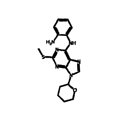 CSc1nc(Nc2ccccc2N)c2ncn(C3CCCCO3)c2n1